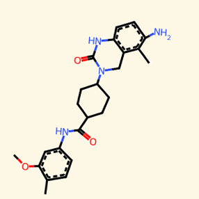 COc1cc(NC(=O)C2CCC(N3Cc4c(ccc(N)c4C)NC3=O)CC2)ccc1C